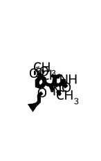 Cn1cc(-c2cc(S(C)(=O)=O)ccc2OCCC2CC2)c2c(Cl)c[nH]c(=O)c21